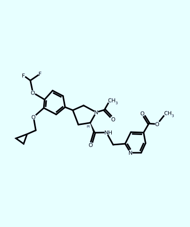 COC(=O)c1ccnc(CNC(=O)[C@H]2CC(c3ccc(OC(F)F)c(OCC4CC4)c3)CN2C(C)=O)c1